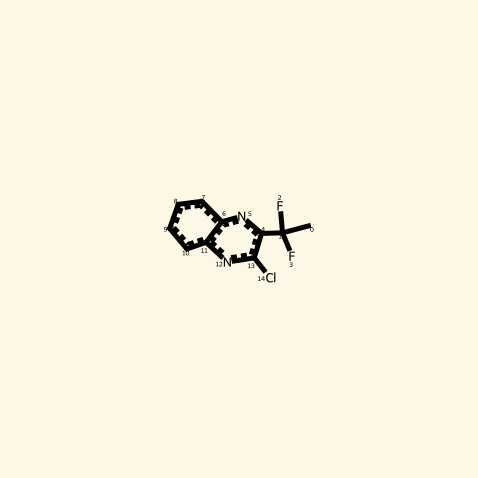 CC(F)(F)c1nc2ccccc2nc1Cl